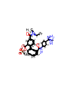 CC(C)CN(C)C(=O)c1ccc(-c2ccccc2C(=O)Nc2ccc(C(=N)N)cc2)c(C(=O)OS(C)(=O)=O)c1